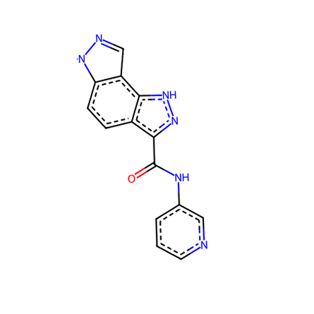 O=C(Nc1cccnc1)c1n[nH]c2c3c(ccc12)[N]N=C3